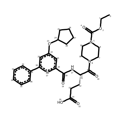 CCOC(=O)N1CCN(C(=O)[C@H](CCC(=O)O)NC(=O)c2cc(OC3CCCC3)cc(-c3ccccc3)n2)CC1